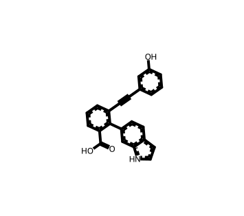 O=C(O)c1cccc(C#Cc2cccc(O)c2)c1-c1ccc2cc[nH]c2c1